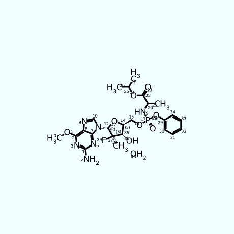 COc1nc(N)nc2c1ncn2[C@@H]1O[C@@H](COP(=O)(NC(C)C(=O)OC(C)C)Oc2ccccc2)[C@H](O)[C@@]1(C)F.O